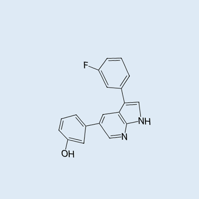 Oc1cccc(-c2cnc3[nH]cc(-c4cccc(F)c4)c3c2)c1